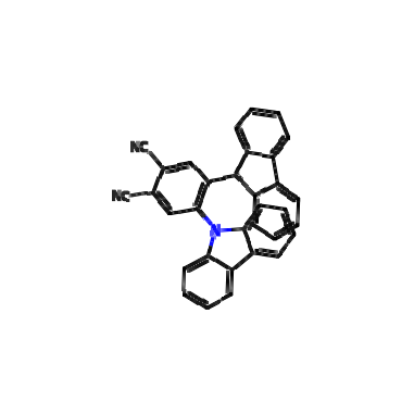 N#Cc1cc(C2c3ccccc3-c3ccccc32)c(-n2c3ccccc3c3ccccc32)cc1C#N